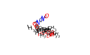 CC(=O)O[C@@H](C1C[C@@H](C)[C@H]2C(O1)[C@H](O)[C@@]1(C)C3CC[C@H]4C(C)(C)[C@@H](O[C@H]5CN(C6CCN(C7COC7)CC6)CCO5)CCC45C[C@@]35CC[C@]21C)C(C)(C)O